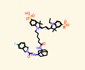 CC[N+]1=C(/C=C/C=C2/N(CCCCCC(=O)NC34CC5CC(CC(NCC(=O)N6Cc7ccc(F)cc7C6)(C5)C3)C4)c3ccc(S(=O)(=O)O)cc3C2(C)C)C(C)(C)c2cc(S(=O)(=O)[O-])ccc21